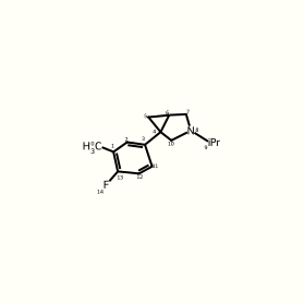 Cc1cc(C23CC2CN(C(C)C)C3)ccc1F